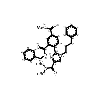 CCCCN(CCCC)C(=O)c1cn(CCCc2ccccc2)c(-c2ccc(C(=O)OC)cc2C(=O)OCc2ccccc2)n1